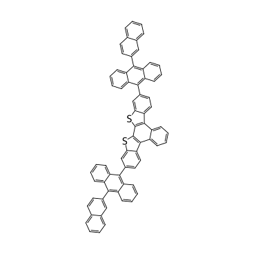 c1ccc2cc(-c3c4ccccc4c(-c4ccc5c(c4)sc4c6sc7cc(-c8c9ccccc9c(-c9ccc%10ccccc%10c9)c9ccccc89)ccc7c6c6ccccc6c54)c4ccccc34)ccc2c1